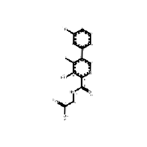 Cc1c(-c2cccc(F)c2)cnc(C(=O)NCC(=O)O)c1O